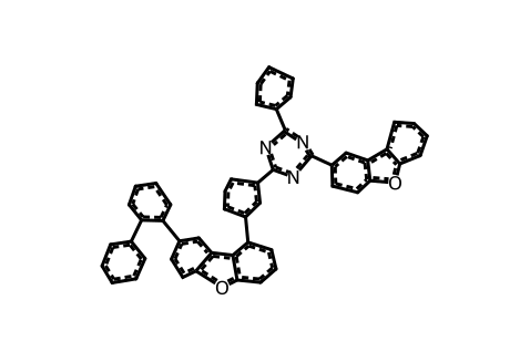 c1ccc(-c2nc(-c3cccc(-c4cccc5oc6ccc(-c7ccccc7-c7ccccc7)cc6c45)c3)nc(-c3ccc4oc5ccccc5c4c3)n2)cc1